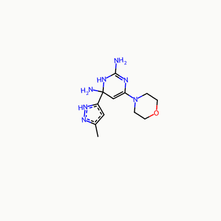 Cc1cc(C2(N)C=C(N3CCOCC3)N=C(N)N2)[nH]n1